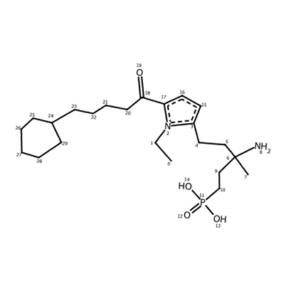 CCn1c(CCC(C)(N)CCP(=O)(O)O)ccc1C(=O)CCCCC1CCCCC1